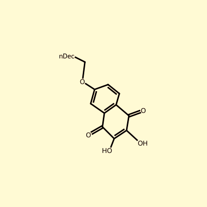 CCCCCCCCCCCOc1ccc2c(c1)C(=O)C(O)=C(O)C2=O